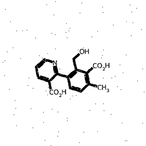 Cc1ccc(-c2ncccc2C(=O)O)c(CO)c1C(=O)O